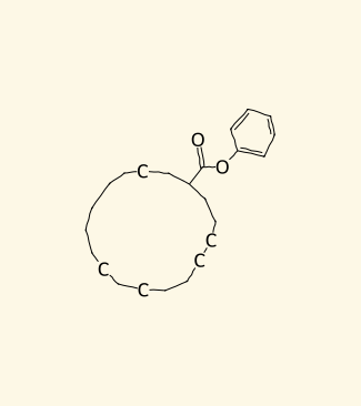 O=C(Oc1ccccc1)C1CCCCCCCCCCCCCCCC1